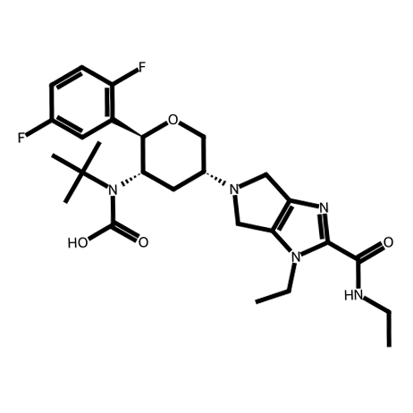 CCNC(=O)c1nc2c(n1CC)CN([C@H]1CO[C@H](c3cc(F)ccc3F)[C@@H](N(C(=O)O)C(C)(C)C)C1)C2